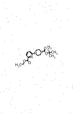 CCOC(=O)c1cccc(N2CCN(C(=O)OC(C)(C)C)CC2)n1